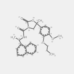 CCCOc1cc([C@]2(C)CN(C(=O)N[C@H](C)c3cccc4ccccc34)C(=O)O2)ccc1OC